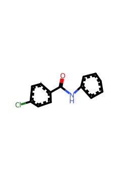 O=C(Nc1ccccc1)c1[c]cc(Cl)cc1